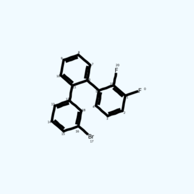 Fc1cccc(-c2ccccc2-c2cccc(Br)c2)c1F